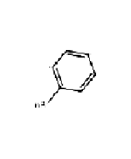 CCCc1[c]c[c]cc1